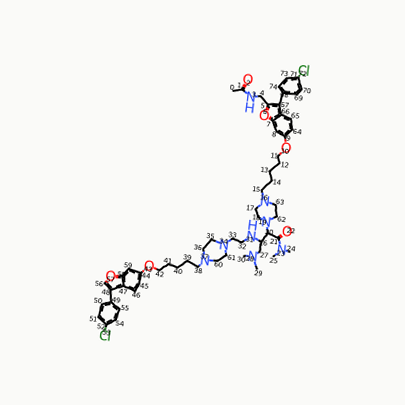 CC(=O)NCc1oc2cc(OCCCCCN3CCN(C(C(=O)N(C)C)C(CN(C)C)NCCN4CCN(CCCCCOc5ccc6c(-c7ccc(Cl)cc7)coc6c5)CC4)CC3)ccc2c1-c1ccc(Cl)cc1